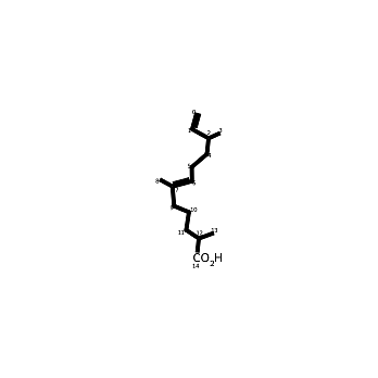 C=CC(C)CCC=C(C)CCCC(C)C(=O)O